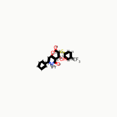 CC(C)n1c(-c2ccccc2)cc2oc(=O)c(Sc3ccc(C(F)(F)F)cc3)c(O)c2c1=O